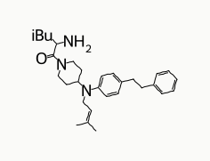 CCC(C)C(N)C(=O)N1CCC(N(CC=C(C)C)c2ccc(CCc3ccccc3)cc2)CC1